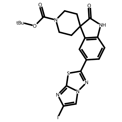 CC(C)(C)OC(=O)N1CCC2(CC1)C(=O)Nc1ccc(-c3nn4cc(I)nc4s3)cc12